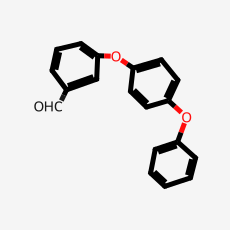 O=Cc1cccc(Oc2ccc(Oc3ccccc3)cc2)c1